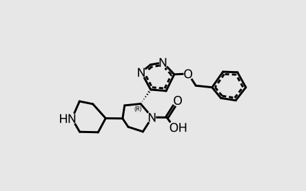 O=C(O)N1CCC(C2CCNCC2)C[C@@H]1c1cc(OCc2ccccc2)ncn1